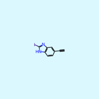 C#Cc1ccc2[nH]c(I)nc2c1